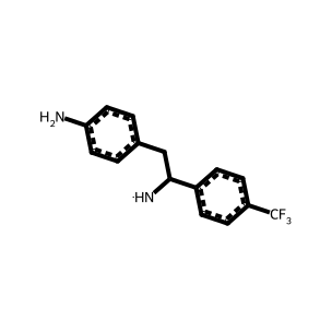 [NH]C(Cc1ccc(N)cc1)c1ccc(C(F)(F)F)cc1